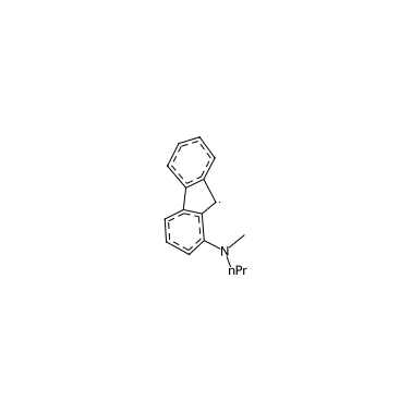 CCCN(C)c1cccc2c1[CH]c1ccccc1-2